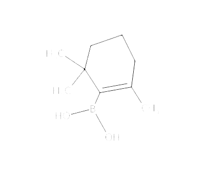 CC1=C(B(O)O)C(C)(C)CCC1